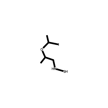 CC(I)OC(C)CNS